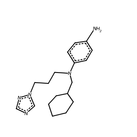 Nc1ccc(N(CCCn2cncn2)CC2CCCCC2)cc1